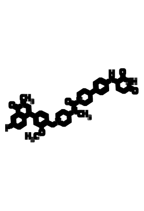 COc1cc(-c2cn(C)c(=O)c3cc(F)ccc23)ccc1CN1CCC(N(C)C(=O)N2CCC(c3ccc(NC4CCC(=O)NC4=O)cc3)CC2)CC1